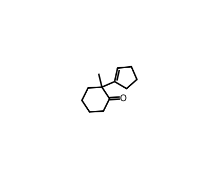 CC1(C2=CCCC2)CCCCC1=O